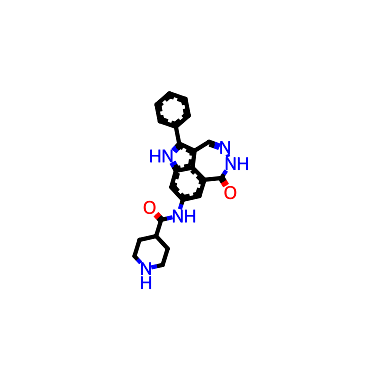 O=C1NN=Cc2c(-c3ccccc3)[nH]c3cc(NC(=O)C4CCNCC4)cc1c23